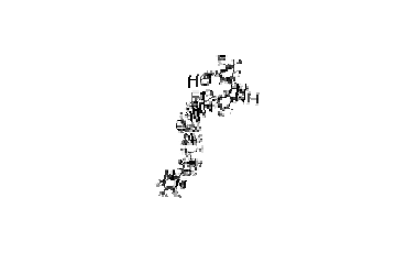 CC[C@@]1(C(=O)Nc2ccc3[nH]nc(-c4ccc(F)c(CO)c4)c3c2)CCN(CC(=O)N2CC=C(c3ncc(-c4ncccn4)s3)CC2)C1